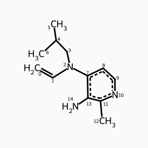 C=CN(CC(C)C)c1ccnc(C)c1N